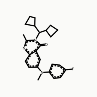 Cc1nc2ccc(N(C)c3ccc(F)cc3)cc2c(=O)n1C(C1CCC1)C1CCC1